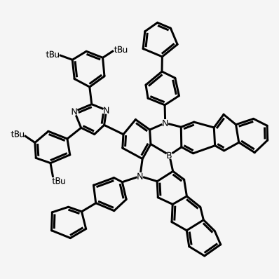 CC(C)(C)c1cc(-c2cc(-c3cc4c5c(c3)N(c3ccc(-c6ccccc6)cc3)c3cc6cc7ccccc7cc6cc3B5c3cc5cc6ccccc6cc5cc3N4c3ccc(-c4ccccc4)cc3)nc(-c3cc(C(C)(C)C)cc(C(C)(C)C)c3)n2)cc(C(C)(C)C)c1